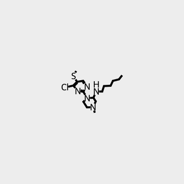 CCCCCCNC1CN(C)CCN1c1ncc(SC)c(Cl)n1